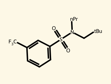 CCCN(CC(C)(C)C)S(=O)(=O)c1cccc(C(F)(F)F)c1